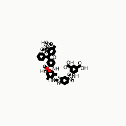 C=c1cc2c(cc1S(=O)(=O)O)=C(c1ccccc1S(=O)(=O)O)c1cc(S(=O)(=O)O)c(Nc3c(C)cc(C)c(Nc4nc5ccc(S(=O)(=O)Nc6cc(C(=O)O)cc(C(=O)O)c6)cc5s4)c3C)cc1O2